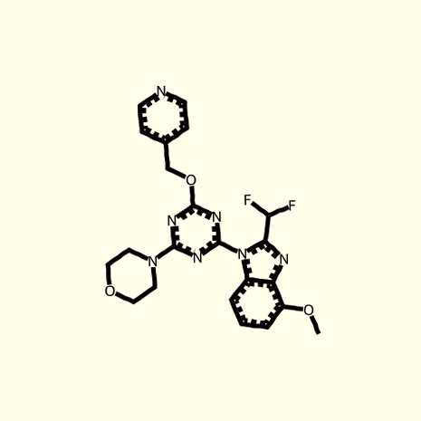 COc1cccc2c1nc(C(F)F)n2-c1nc(OCc2ccncc2)nc(N2CCOCC2)n1